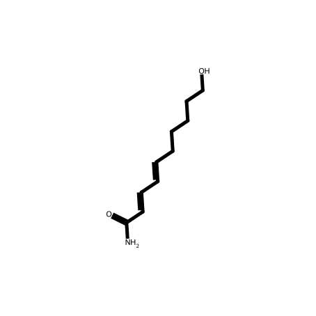 NC(=O)C=CC=CCCCCCO